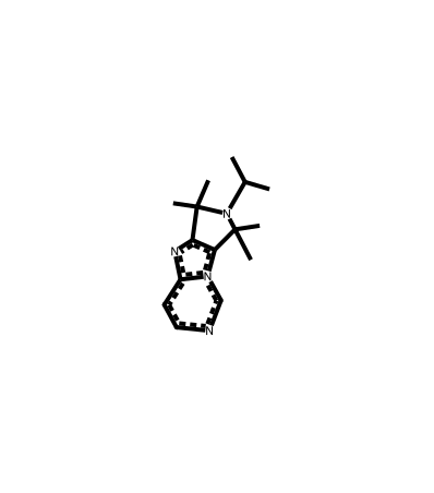 CC(C)N1C(C)(C)c2nc3ccncn3c2C1(C)C